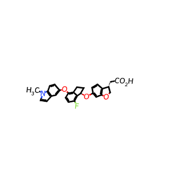 Cn1ccc2cc(Oc3ccc(F)c4c3CC[C@H]4Oc3ccc4c(c3)OC[C@H]4CC(=O)O)ccc21